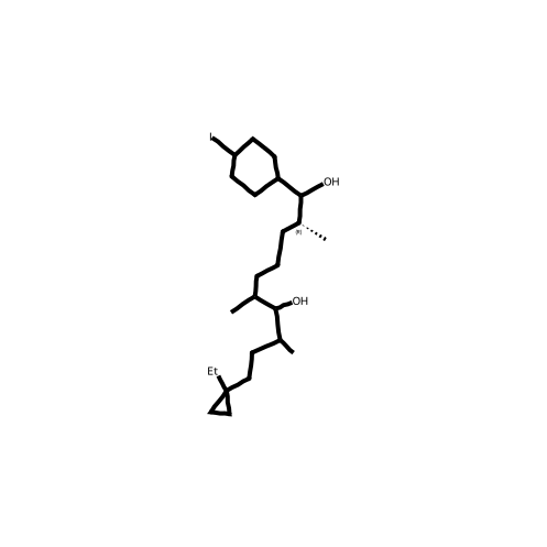 CCC1(CCC(C)C(O)C(C)CCC[C@@H](C)C(O)C2CCC(I)CC2)CC1